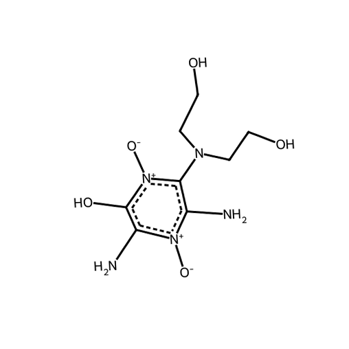 Nc1c(O)[n+]([O-])c(N(CCO)CCO)c(N)[n+]1[O-]